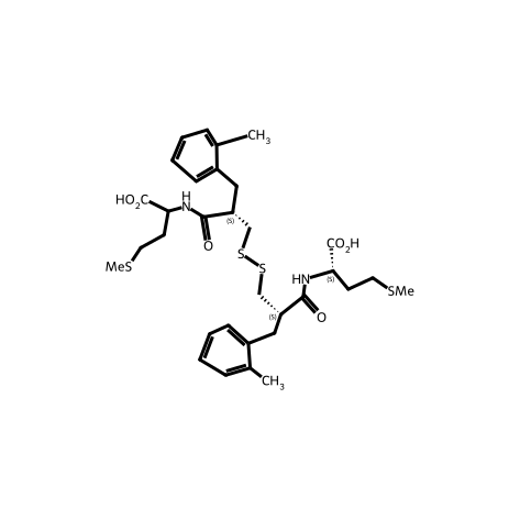 CSCCC(NC(=O)[C@@H](CSSC[C@@H](Cc1ccccc1C)C(=O)N[C@@H](CCSC)C(=O)O)Cc1ccccc1C)C(=O)O